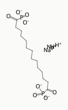 O=C(CCCCCCCCCCCCC(=O)P(=O)([O-])[O-])P(=O)([O-])[O-].[H+].[H+].[Na+].[Na+]